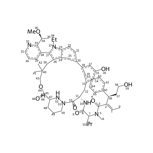 C/C=C(/C(=O)N(C)C(C(=O)N[C@H]1Cc2cc(O)cc(c2)-c2ccc3c(c2)c(c(-c2cccnc2[C@H](C)OC)n3CC)CC(C)(C)COC(=O)[C@@H]2CCCN(N2)C1=O)C(C)C)[C@H](CCO)c1ccccc1